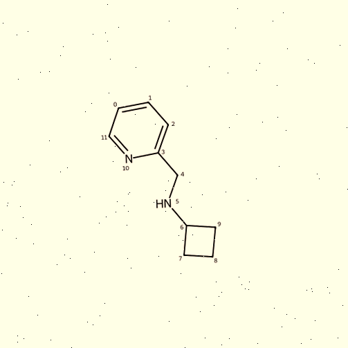 c1ccc(CNC2CCC2)nc1